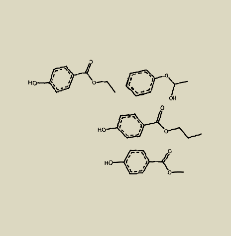 CC(O)Oc1ccccc1.CCCOC(=O)c1ccc(O)cc1.CCOC(=O)c1ccc(O)cc1.COC(=O)c1ccc(O)cc1